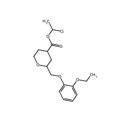 CCOc1ccccc1OCC1CC(C(=O)OC(C)Cl)CCO1